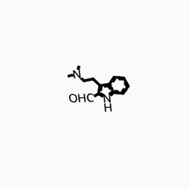 CN(C)CCc1c(C=O)[nH]c2ccccc12